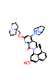 C#Cc1cccc2cc(O)cc(-n3ccc4c(N5CC6CCC(C5)N6)cc(OC[C@@]56CCCN5C[C@H](F)C6)nc4c3=O)c12